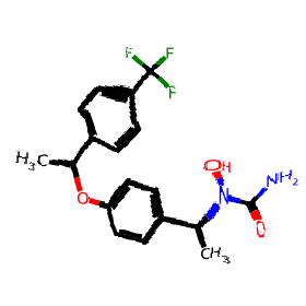 CC(Oc1ccc(C(C)N(O)C(N)=O)cc1)c1ccc(C(F)(F)F)cc1